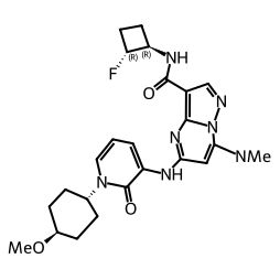 CNc1cc(Nc2cccn([C@H]3CC[C@H](OC)CC3)c2=O)nc2c(C(=O)N[C@@H]3CC[C@H]3F)cnn12